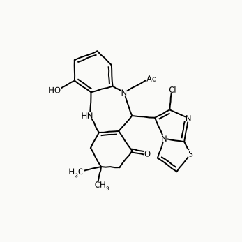 CC(=O)N1c2cccc(O)c2NC2=C(C(=O)CC(C)(C)C2)C1c1c(Cl)nc2sccn12